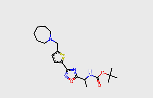 CC(NC(=O)OC(C)(C)C)c1nc(-c2ccc(CN3CCCCCC3)s2)no1